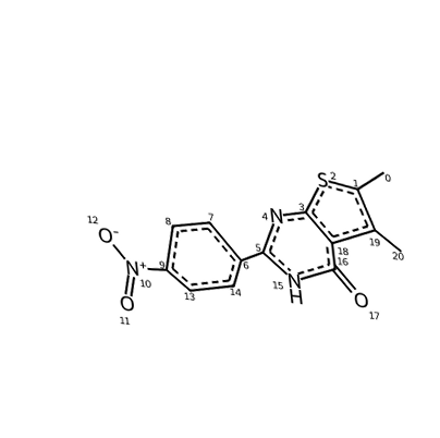 Cc1sc2nc(-c3ccc([N+](=O)[O-])cc3)[nH]c(=O)c2c1C